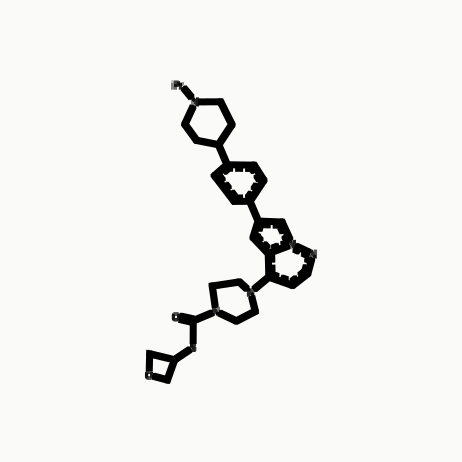 CC(C)N1CCC(c2ccc(-c3cc4c(N5CCN(C(=O)SC6COC6)CC5)ccnn4c3)cc2)CC1